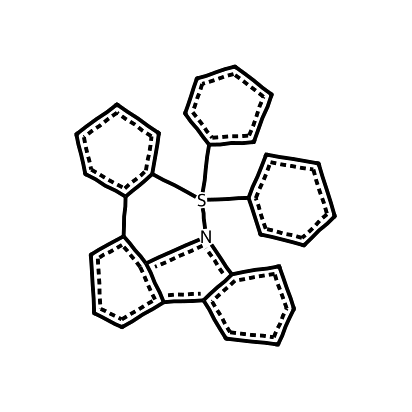 c1ccc(S2(c3ccccc3)c3ccccc3-c3cccc4c5ccccc5n2c34)cc1